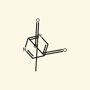 O=c1oc(=O)c2ncc1cn2